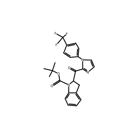 CC(C)(C)OC(=O)N1c2ccccc2CC1C(=O)c1nccn1-c1ccc(C(F)(F)F)cc1